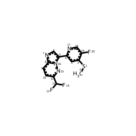 CSc1cc(-c2cnc3ccc(C(F)F)nn23)ncc1F